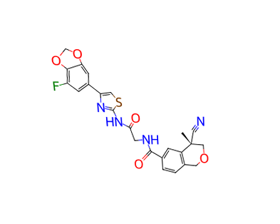 C[C@@]1(C#N)COCc2ccc(C(=O)NCC(=O)Nc3nc(-c4cc(F)c5c(c4)OCO5)cs3)cc21